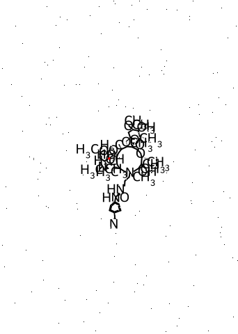 CC[C@H]1OC(=O)[C@H](C)[C@@H](O[C@H]2C[C@@](C)(OC)[C@@H](O)[C@H](C)O2)[C@H](C)[C@@H](O[C@@H]2O[C@H](C)C[C@H](N(C)C)[C@H]2O)[C@](C)(O)C[C@@H](C)CN(CCCNC(=O)Nc2ccc(C#N)cc2)[C@H](C)[C@@H](O)[C@]1(C)O